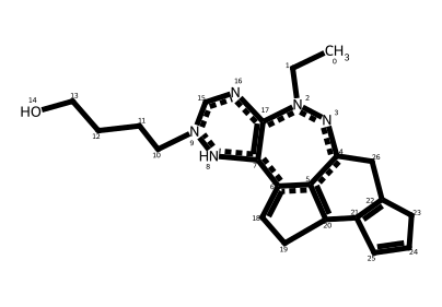 CCn1nc2c3c(c4[nH]n(CCCCO)cnc1=4)=CCC=3C1=C(CC=C1)C2